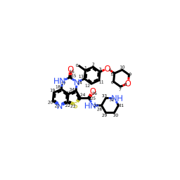 Cc1cc(OC2CCOCC2)ccc1N1C(=O)Nc2ccnc3sc(C(=O)NC4CCCNC4)c1c23